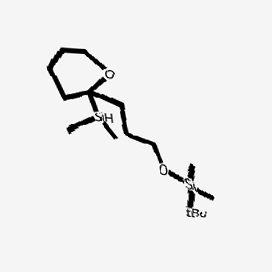 C[SiH](C)C1(CCCO[Si](C)(C)C(C)(C)C)CCCCO1